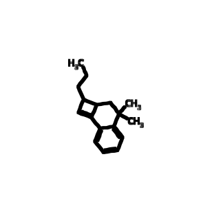 CCCC1C=C2c3ccccc3C(C)(C)CC21